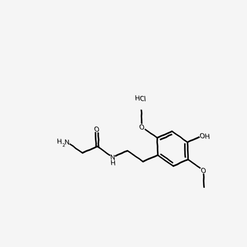 COc1cc(CCNC(=O)CN)c(OC)cc1O.Cl